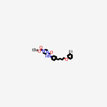 CCc1cccc(OCCCCc2ccc(NC(=O)N3CCN(C(=O)OC(C)(C)C)CC3)cc2)c1